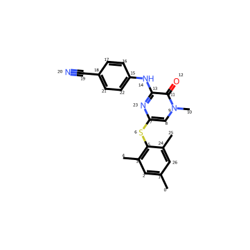 Cc1cc(C)c(Sc2cn(C)c(=O)c(Nc3ccc(C#N)cc3)n2)c(C)c1